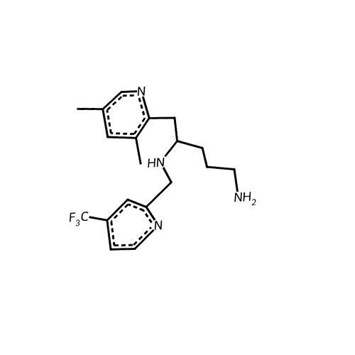 Cc1cnc(CC(CCCN)NCc2cc(C(F)(F)F)ccn2)c(C)c1